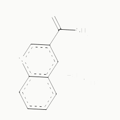 Cl.Cl.Cl.NC(=O)c1cnc2ccccc2c1